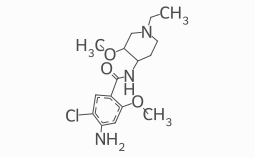 CCN1CCC(NC(=O)c2cc(Cl)c(N)cc2OC)C(OC)C1